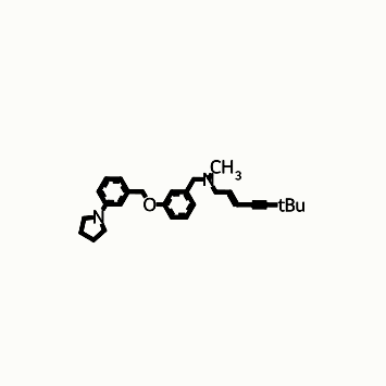 CN(CC=CC#CC(C)(C)C)Cc1cccc(OCc2cccc(N3CCCC3)c2)c1